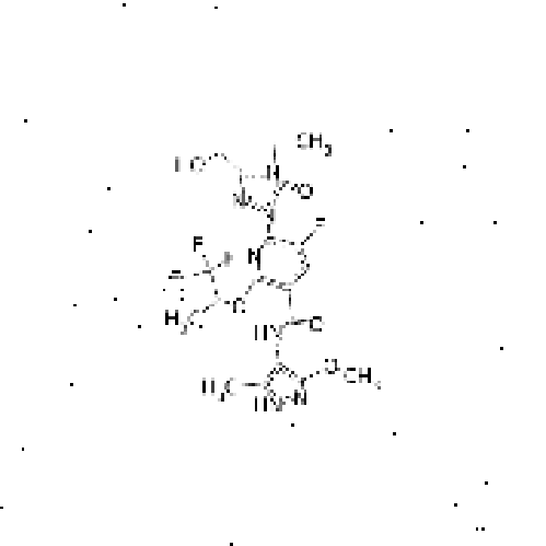 CCn1c(CO)nn(-c2nc(OC(C)C(F)(F)F)c(C(=O)Nc3c(OC)n[nH]c3C)cc2F)c1=O